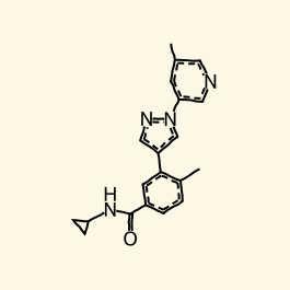 Cc1cncc(-n2cc(-c3cc(C(=O)NC4CC4)ccc3C)cn2)c1